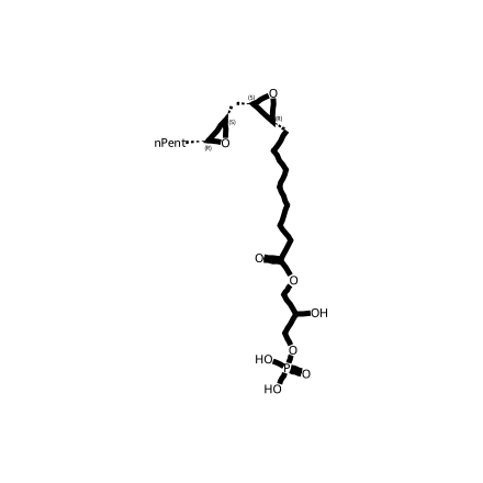 CCCCC[C@H]1O[C@H]1C[C@@H]1O[C@@H]1CCCCCCCC(=O)OCC(O)COP(=O)(O)O